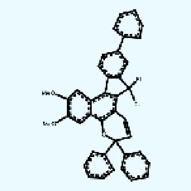 CCC1(CC)c2cc(-c3ccccc3)ccc2-c2c1c1c(c3cc(OC)c(OC)cc23)OC(c2ccccc2)(c2ccccc2)C=C1